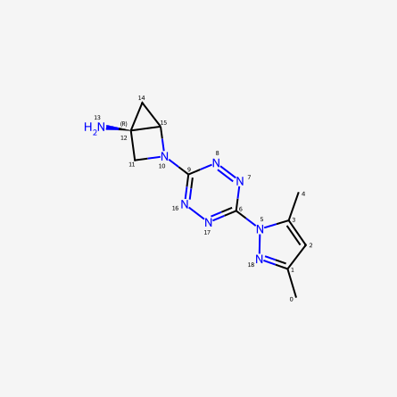 Cc1cc(C)n(-c2nnc(N3C[C@]4(N)CC34)nn2)n1